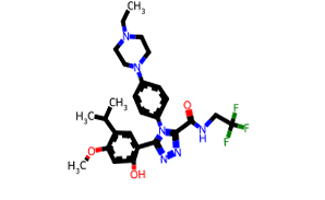 CCN1CCN(c2ccc(-n3c(C(=O)NCC(F)(F)F)nnc3-c3cc(C(C)C)c(OC)cc3O)cc2)CC1